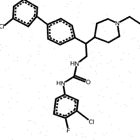 CCN1CCC(C(CNC(=O)Nc2ccc(F)c(Cl)c2)c2ccc(-c3cccc(Cl)c3)cc2)CC1